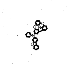 c1ccc(N(c2ccc3c(c2)oc2ccccc23)c2cc3c4c(c2)c2cccc5c2n4-c2c(cccc2O3)O5)cc1